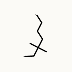 [CH2]CCCC(C)(C)C[CH2]